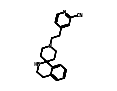 N#Cc1cc(CCN2CCC3(CC2)NCCc2ccccc23)ccn1